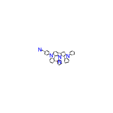 N#Cc1ccc(-n2c3cccc(C#N)c3c3c2ccc2c4ccc5c(c6ccccc6n5-c5ccccc5)c4n(-c4ccccc4)c23)cc1